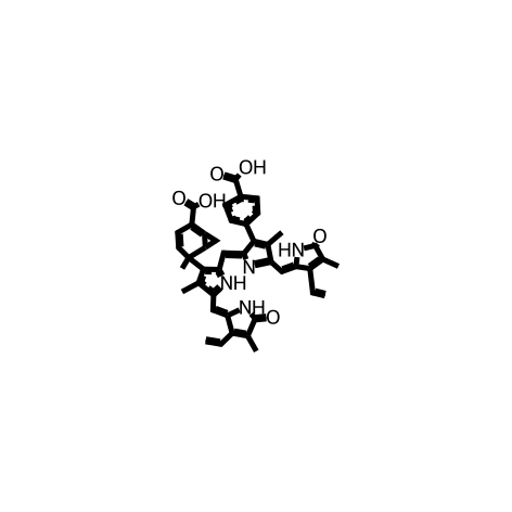 C=CC1=C(C)C(=O)N/C1=C\C1=NC(=Cc2[nH]c(/C=C3\NC(=O)C(C)=C3C=C)c(C)c2C2(C)C=CC(C(=O)O)=C3CC32)C(c2ccc(C(=O)O)cc2)=C1C